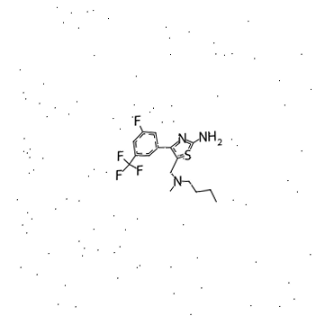 CCCCN(C)Cc1sc(N)nc1-c1cc(F)cc(C(F)(F)F)c1